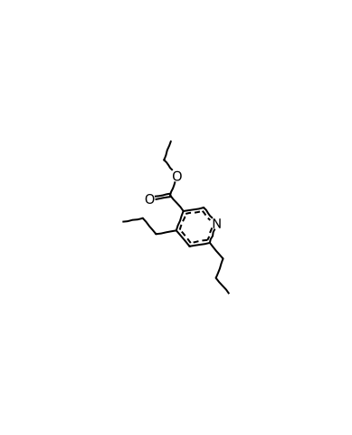 CCCc1cc(CCC)c(C(=O)OCC)cn1